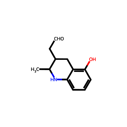 CC1Nc2cccc(O)c2CC1CC=O